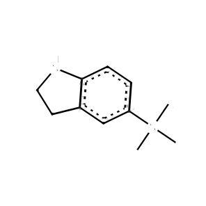 C[N+](C)(C)c1ccc2c(c1)CCN2